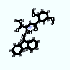 COC(=O)/C(=C/C(=O)c1cc(OC)ccc1OC)NN=C1c2ccccc2-c2ccccc21